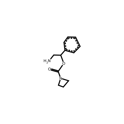 NCC(OC(=O)N1CCC1)c1ccccc1